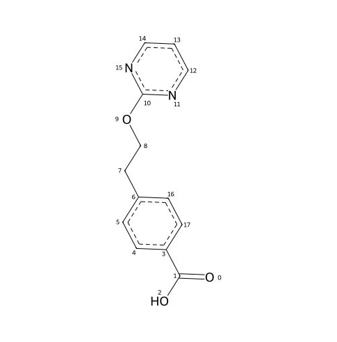 O=C(O)c1ccc(CCOc2ncccn2)cc1